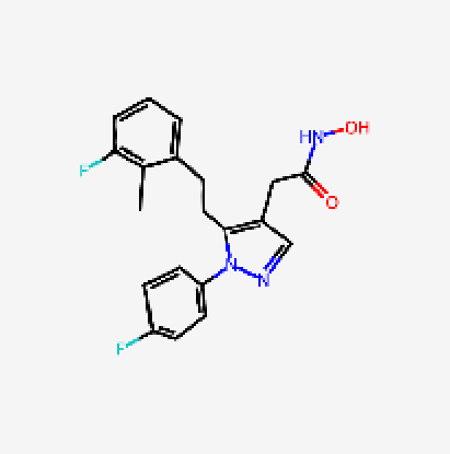 Cc1c(F)cccc1CCc1c(CC(=O)NO)cnn1-c1ccc(F)cc1